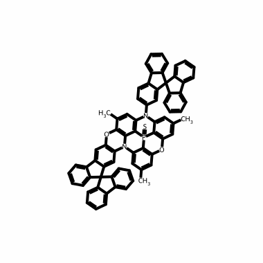 Cc1cc2c3c(c1)N(c1ccc4c(c1)C1(c5ccccc5-c5ccccc51)c1ccccc1-4)c1cc(C)c4c5c1P3(=S)c1c(cc(C)cc1N5c1cc3c(cc1O4)-c1ccccc1C31c3ccccc3-c3ccccc31)O2